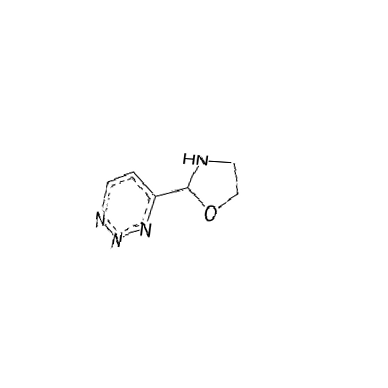 c1cc(C2NCCO2)nnn1